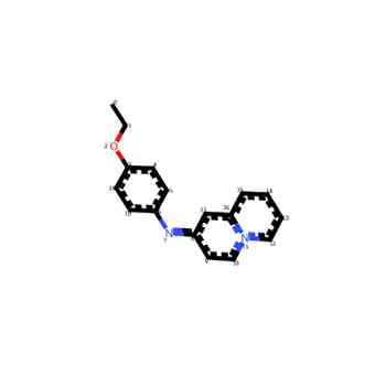 CCOc1ccc(/N=c2/ccn3ccccc3c2)cc1